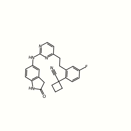 N#CC1(c2ccc(F)cc2CCc2ccnc(Nc3ccc4c(c3)CC(=O)N4)n2)CCC1